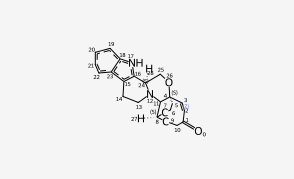 O=C1/C=C\[C@@]23CCC[C@@H](CC1)C2N1CCc2c([nH]c4ccccc24)[C@H]1CO3